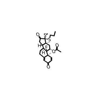 CCCS[C@]1(SC)C(=O)C[C@H]2[C@@H]3CCC4=CC(=O)C=C[C@]4(C)[C@@]3(F)[C@@H](OC(C)=O)C[C@@]21C